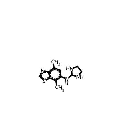 Cc1cc(NC2NCCN2)c(C)c2scnc12